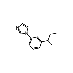 CCC(C)c1cccc(-n2[c]ncc2)c1